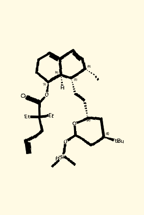 C=CCC(CC)(CC)C(=O)O[C@H]1CCC=C2C=C[C@H](C)[C@H](CC[C@@H]3C[C@@H](C(C)(C)C)CC(O[SiH](C)C)O3)[C@H]21